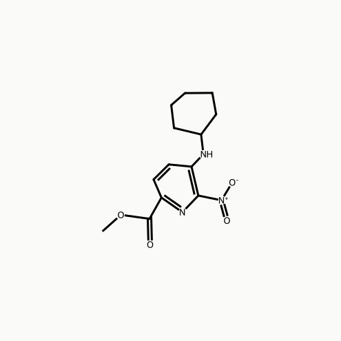 COC(=O)c1ccc(NC2CCCCC2)c([N+](=O)[O-])n1